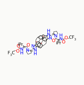 CC(C)[C@H](NC(=O)OCC(F)(F)F)C(=O)N1CCC[C@H]1c1nc2cc(-c3cc4ccc3CCc3ccc(c(-c5ccc6[nH]c([C@@H]7CCCN7C(=O)[C@@H](NC(=O)OCC(F)(F)F)C(C)C)nc6c5)c3)CC4)ccc2[nH]1